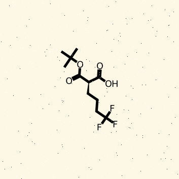 CC(C)(C)OC(=O)[C@H](CCCC(F)(F)F)C(=O)O